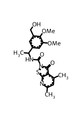 COc1cc(C(C)NC(=O)n2sc3nc(C)cc(C)c3c2=O)cc(CO)c1OC